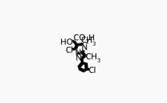 Cc1nc2c(C)c(-c3cccc(Cl)c3)nn2c(Cl)c1C(O)C(=O)O